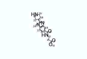 COC(=O)CCNC(=O)c1ccc2c(c1)nc(C1CCNCC1)n2C